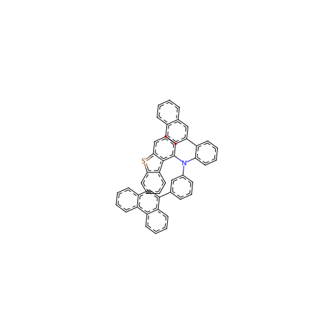 c1cc(-c2cc3ccccc3c3ccccc23)cc(N(c2ccccc2-c2ccc3ccccc3c2)c2cccc3sc4ccccc4c23)c1